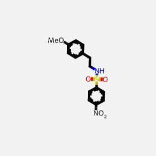 COc1ccc(CCNS(=O)(=O)c2ccc([N+](=O)[O-])cc2)cc1